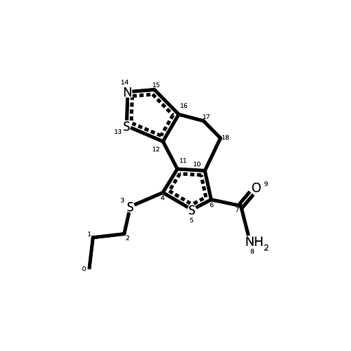 CCCSc1sc(C(N)=O)c2c1-c1sncc1CC2